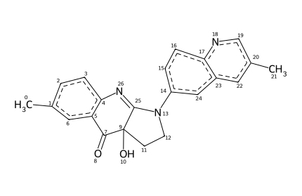 Cc1ccc2c(c1)C(=O)C1(O)CCN(c3ccc4ncc(C)cc4c3)C1=N2